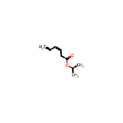 C=C/C=C\CC(=O)OC(C)C